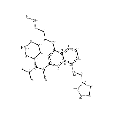 COCCCOc1cc(C(=O)N(C(C)C)[C@@H]2CCCNC2)nc2c(OC[C@@H]3CCCO3)cccc12